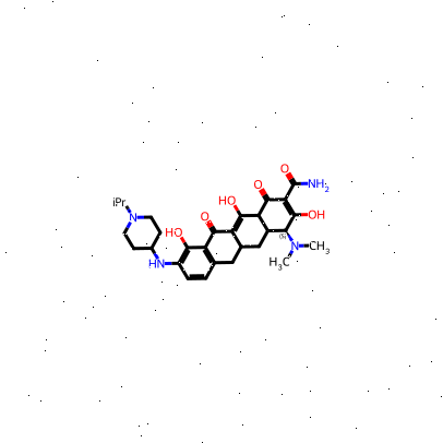 CC(C)N1CCC(Nc2ccc3c(c2O)C(=O)C2=C(O)C4C(=O)C(C(N)=O)=C(O)[C@@H](N(C)C)C4CC2C3)CC1